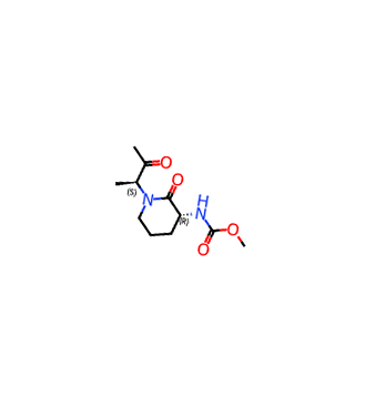 COC(=O)N[C@@H]1CCCN([C@@H](C)C(C)=O)C1=O